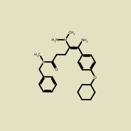 CN(Cc1ccccc1)C(=O)CC/C(=C(/N)c1ccc(OC2CCCCC2)cc1)N(C)N